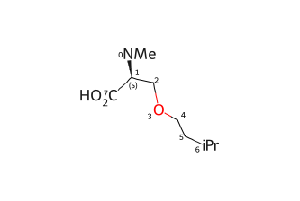 CN[C@@H](COCCC(C)C)C(=O)O